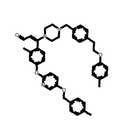 Cc1ccc(COc2ccc(Oc3ccc(/C(=C\C=O)N4CCN(Cc5ccc(CCOc6ccc(C)cc6)cc5)CC4)c(C)c3)nc2)cc1